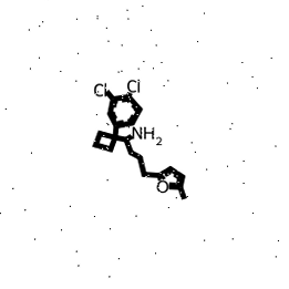 Cc1ccc(CCCC(N)C2(c3ccc(Cl)c(Cl)c3)CCC2)o1